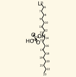 O=S(=O)(O)O.[Li][CH2]CCCCCCCCCCCCCCCCC